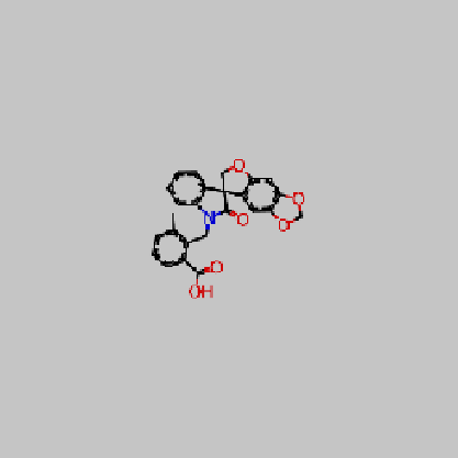 Cc1cccc(C(=O)O)c1CN1C(=O)C2(COc3cc4c(cc32)OCO4)c2ccccc21